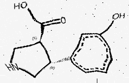 O=C(O)[C@@H]1CNC[C@H]1c1cccc(O)c1